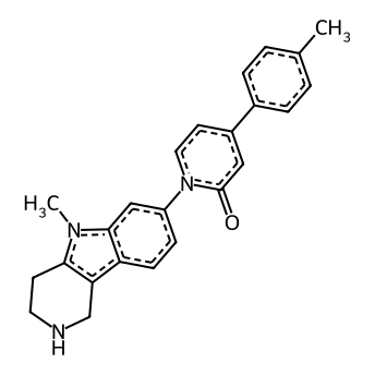 Cc1ccc(-c2ccn(-c3ccc4c5c(n(C)c4c3)CCNC5)c(=O)c2)cc1